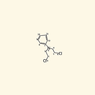 ClCCN(CCCl)c1c[c]ccc1